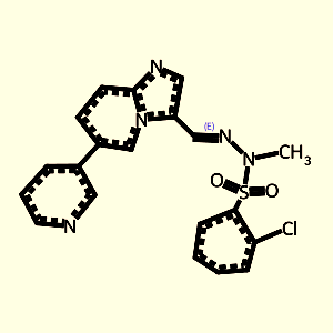 CN(/N=C/c1cnc2ccc(-c3cccnc3)cn12)S(=O)(=O)c1ccccc1Cl